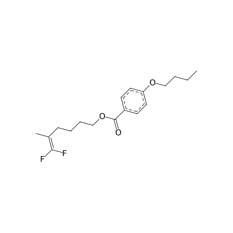 CCCCOc1ccc(C(=O)OCCCCC(C)=C(F)F)cc1